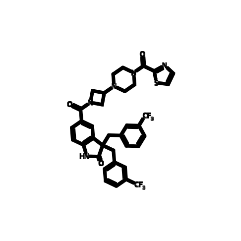 O=C(c1ccc2c(c1)C(Cc1cccc(C(F)(F)F)c1)(Cc1cccc(C(F)(F)F)c1)C(=O)N2)N1CC(N2CCN(C(=O)c3nccs3)CC2)C1